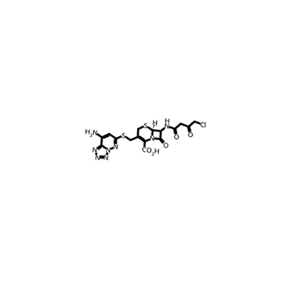 Nc1cc(SCC2=C(C(=O)O)N3C(=O)C(NC(=O)CC(=O)CCl)[C@@H]3SC2)nn2nnnc12